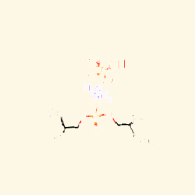 CCCCC(CC)COP(=O)(O)OCC(CC)CCCC.N.N.O=P(O)(O)O